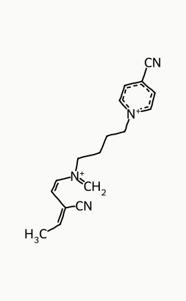 C=[N+](/C=C\C(C#N)=C/C)CCCC[n+]1ccc(C#N)cc1